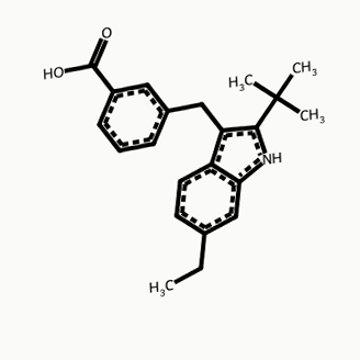 CCc1ccc2c(Cc3cccc(C(=O)O)c3)c(C(C)(C)C)[nH]c2c1